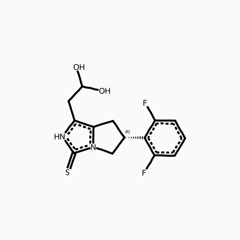 OC(O)Cc1[nH]c(=S)n2c1C[C@H](c1c(F)cccc1F)C2